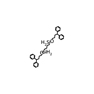 c1ccc(C(CCCO[SiH2]CCCC[SiH2]OCCCC(c2ccccc2)c2ccccc2)c2ccccc2)cc1